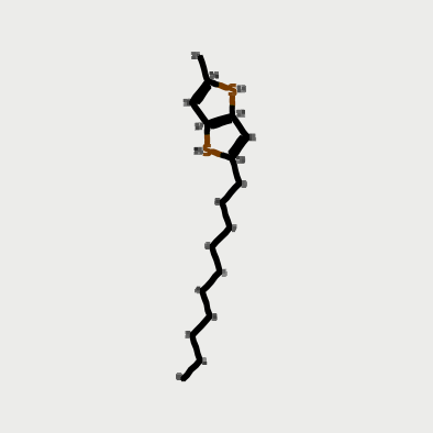 CCCCCCCCCCc1cc2sc(C)cc2s1